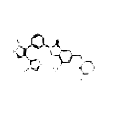 C[C@H]1CN(Cc2cc3c(c(C(F)(F)F)c2)CN(c2cccc(-c4c(-c5nncn5C)cnn4C)c2)C3=O)C[C@H](C)O1